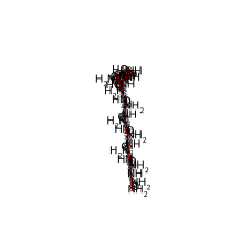 NC(=O)CC(N)CCCNCCCC(N)CC(=O)NCCCC(N)CC(=O)NCCCC(N)CC(=O)NCCCC(N)CC(=O)NCCCC(N)CC(=O)NCCCC(N)CC(=O)N[C@@H]1[C@H](O)[C@@H](OC(N)=O)[C@@H](CO)O[C@H]1/N=C1\N[C@@H]2[C@H](O)CNC(=O)[C@H]2N1